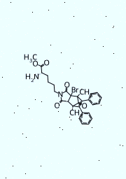 COC(=O)[C@@H](N)CCCCN1C(=O)C2C3(C)C(=O)C(C)(C(c4ccccc4)=C3c3ccccc3)C2(Br)C1=O